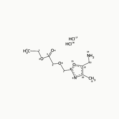 CCOC(=O)COCc1nc(C)c(CN)o1.Cl.Cl